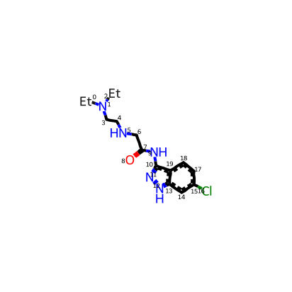 CCN(CC)CCNCC(=O)Nc1n[nH]c2cc(Cl)ccc12